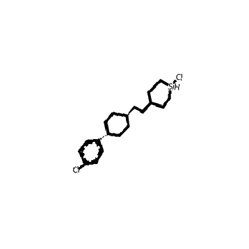 Clc1ccc([C@H]2CC[C@H](CCC3CC[SiH](Cl)CC3)CC2)cc1